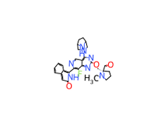 CN1CCC[C@@]1(C=O)COc1nc(N2CC3CCC(C2)N3)c2cnc(-c3[nH]c(=O)cc4ccccc34)c(F)c2n1